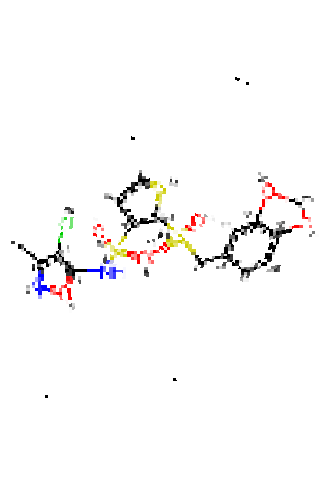 Cc1noc(NS(=O)(=O)c2ccsc2S(=O)(=O)Cc2ccc3c(c2)OCO3)c1Cl